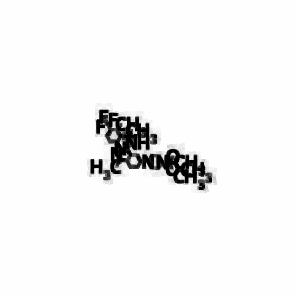 Cc1c([C@@H](C)Nc2nnc(C)c3ccc(N4CCN(C(=O)OC(C)(C)C)CC4)cc23)cccc1C(F)(F)F